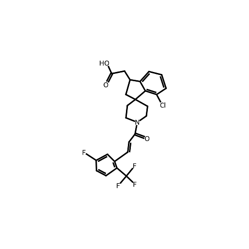 O=C(O)CC1CC2(CCN(C(=O)/C=C/c3cc(F)ccc3C(F)(F)F)CC2)c2c(Cl)cccc21